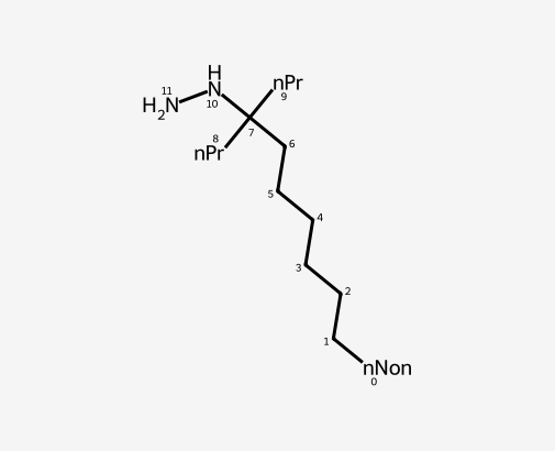 CCCCCCCCCCCCCCCC(CCC)(CCC)NN